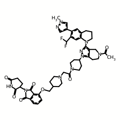 CC(=O)N1CCc2c(c(N3CCCc4cc(-c5cnn(C)c5)c(C(F)F)cc43)nn2C2CCN(C(=O)CN3CCC(COc4cccc5c4C(=O)N(C4CCC(=O)NC4=O)C5=O)CC3)CC2)C1